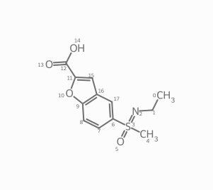 CCN=S(C)(=O)c1ccc2oc(C(=O)O)cc2c1